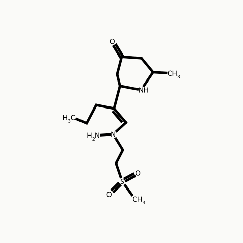 CCCC(=CN(N)CCS(C)(=O)=O)C1CC(=O)CC(C)N1